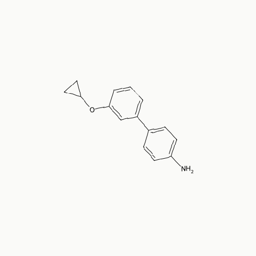 Nc1ccc(-c2cccc(OC3CC3)c2)cc1